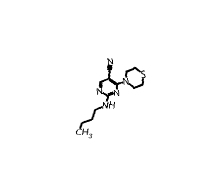 CCCCNc1ncc(C#N)c(N2CCSCC2)n1